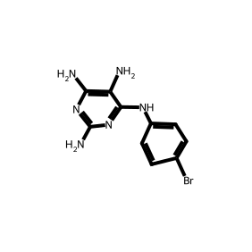 Nc1nc(N)c(N)c(Nc2ccc(Br)cc2)n1